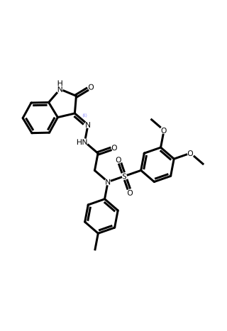 COc1ccc(S(=O)(=O)N(CC(=O)N/N=C2/C(=O)Nc3ccccc32)c2ccc(C)cc2)cc1OC